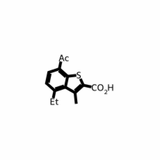 CCc1ccc(C(C)=O)c2sc(C(=O)O)c(C)c12